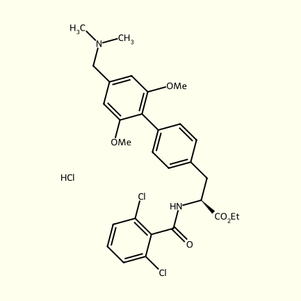 CCOC(=O)[C@H](Cc1ccc(-c2c(OC)cc(CN(C)C)cc2OC)cc1)NC(=O)c1c(Cl)cccc1Cl.Cl